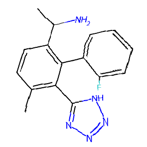 Cc1ccc(C(C)N)c(-c2ccccc2F)c1-c1nnn[nH]1